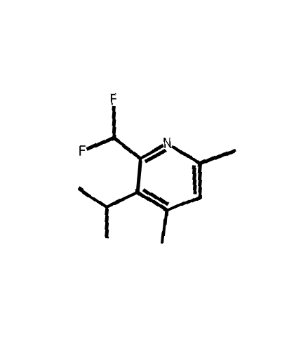 Cc1cc(C)c(C(C)C)c(C(F)F)n1